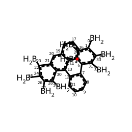 Bc1c(B)c(B)c(-c2ccccc2-c2c3ccccc3cc3c(B)c(B)c(B)c(B)c23)c(B)c1B